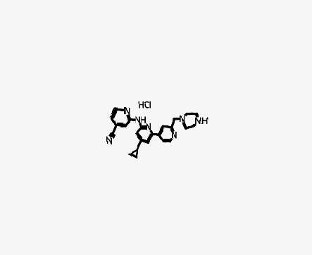 Cl.N#Cc1ccnc(Nc2cc(C3CC3)cc(-c3ccnc(CN4CCNCC4)c3)n2)c1